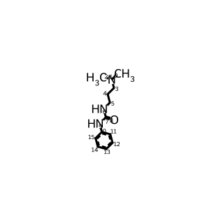 CN(C)CCCNC(=O)Nc1ccccc1